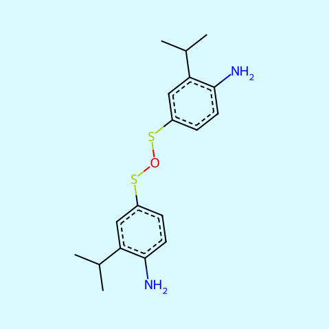 CC(C)c1cc(SOSc2ccc(N)c(C(C)C)c2)ccc1N